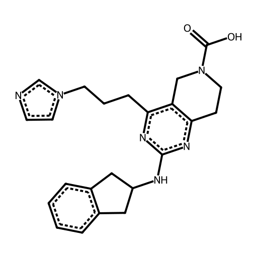 O=C(O)N1CCc2nc(NC3Cc4ccccc4C3)nc(CCCn3ccnc3)c2C1